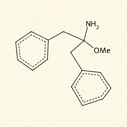 COC(N)(Cc1ccccc1)Cc1ccccc1